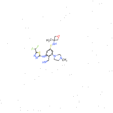 CN1CCN(c2cc(SNC3(C)COC3)cc(Nc3nnc(C(F)F)s3)c2C=N)CC1